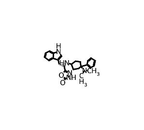 CN(C)C1(c2ccccc2)CCC(N[C@@H](Cc2c[nH]c3ccccc23)c2n[nH]c(=O)o2)CC1